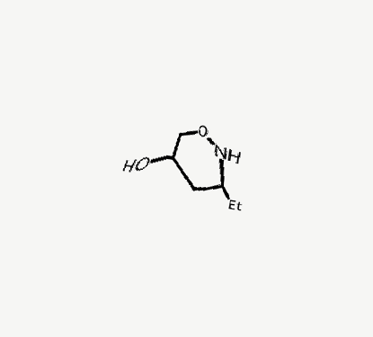 CCC1CC(O)CON1